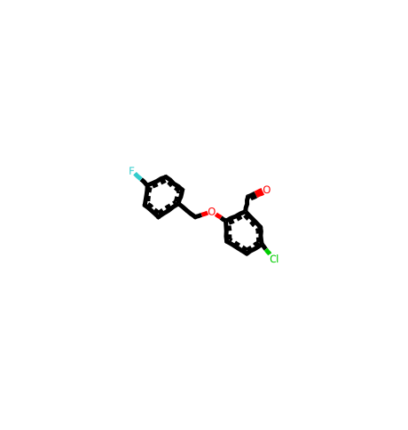 O=Cc1cc(Cl)ccc1OCc1ccc(F)cc1